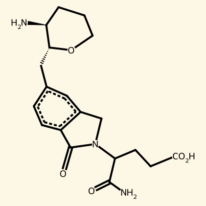 NC(=O)C(CCC(=O)O)N1Cc2cc(C[C@H]3OCCC[C@@H]3N)ccc2C1=O